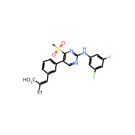 CCC(=Cc1cccc(-c2cnc(Nc3cc(F)cc(F)c3)nc2S(C)(=O)=O)c1)C(=O)O